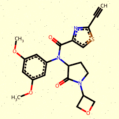 C#Cc1nc(C(=O)N(c2cc(OC)cc(OC)c2)C2CCN(C3COC3)C2=O)cs1